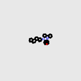 c1ccc(N(c2ccc3c(ccc4c5ccccc5ccc34)c2)c2cccc3c4ccccc4n(-c4ccccc4)c23)cc1